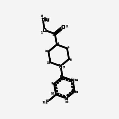 CC(C)(C)OC(=O)C1CCN(c2cc(F)ncn2)CC1